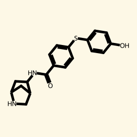 O=C(NC1CC2CC1CN2)c1ccc(Sc2ccc(O)cc2)cc1